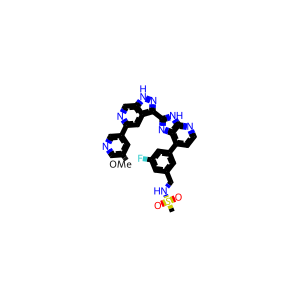 COc1cncc(-c2cc3c(-c4nc5c(-c6cc(F)cc(CNS(C)(=O)=O)c6)ccnc5[nH]4)n[nH]c3cn2)c1